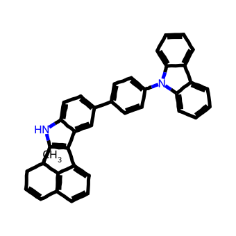 CC12CC=Cc3cccc(c31)-c1c2[nH]c2ccc(-c3ccc(-n4c5ccccc5c5ccccc54)cc3)cc12